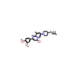 CCC[AsH]C1CCN(c2cc(C)c3nc(-c4ccc(OC)c(OC)c4)cc(=O)n3c2)CC1